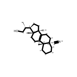 C[C@@H](CO)[C@H]1CC[C@H]2C3=C(CC[C@]12C)[C@@]1(C)CCCC[C@]1(C#N)CC3